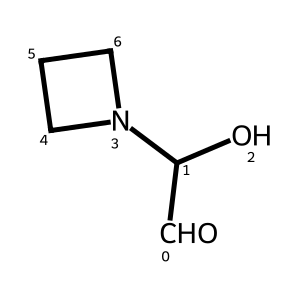 O=CC(O)N1CCC1